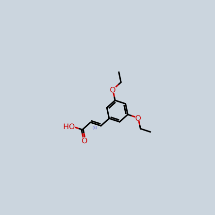 CCOc1cc(/C=C/C(=O)O)cc(OCC)c1